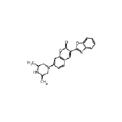 CC1CN(c2ccc3cc(-c4nc5ccccc5o4)c(=O)oc3c2)CC(C)N1